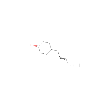 O=C(O)/C=C/CC1CCC(=O)CC1